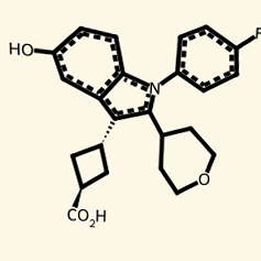 O=C(O)[C@H]1C[C@H](c2c(C3CCOCC3)n(-c3ccc(F)cc3)c3ccc(O)cc32)C1